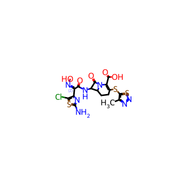 Cc1nnsc1SC1=C(C(=O)O)N2C(=O)C(NC(=O)/C(=N\O)c3nc(N)sc3Cl)C2CC1